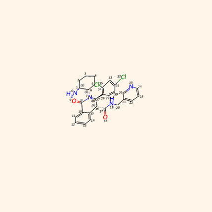 N[C@H]1CCCC[C@@H]1N1C(=O)c2ccccc2[C@@H](C(=O)NCc2cccnc2)[C@@H]1c1ccc(Cl)cc1Cl